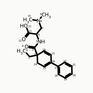 CCC1(C(=O)NC(CN(C)C)C(=O)O)C=CC(c2ccccc2)=CC1